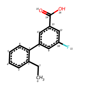 CCc1ccccc1-c1cc(F)cc(C(=O)O)c1